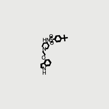 CC(C)(C)c1ccc(S(=O)(=O)NC2CCN(CCOc3cccc4[nH]ccc34)CC2)cc1